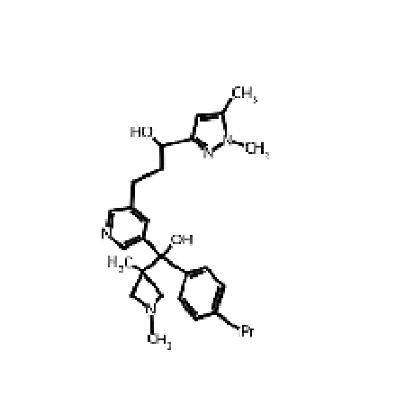 Cc1cc(C(O)CCc2cncc(C(O)(c3ccc(C(C)C)cc3)C3(C)CN(C)C3)c2)nn1C